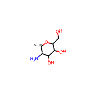 C[C@@H]1OC(CO)C(O)C(O)C1N